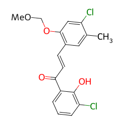 COCOc1cc(Cl)c(C)cc1C=CC(=O)c1cccc(Cl)c1O